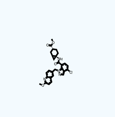 COC(=O)[C@@H]1CC[C@]2(NC(=O)c3ccc(Cl)c4cnn(Cc5ccc6nc(OC)ccc6c5)c34)CC2C1